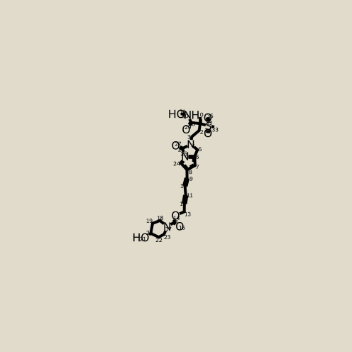 CC(CCN1Cc2cc(C#CC#CCOC(=O)N3CCC(O)CC3)cn2C1=O)(C(=O)NO)S(C)(=O)=O